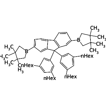 CCCCCCc1cc(CCCCCC)cc(C2(c3cc(CCCCCC)cc(CCCCCC)c3)c3cc(B4CC(C)(C)C(C)(C)C4)ccc3-c3ccc(B4CC(C)(C)C(C)(C)C4)cc32)c1